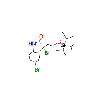 CC(C)[Si](OCCC1(Br)C(=O)Nc2ccc(Br)cc21)(C(C)C)C(C)C